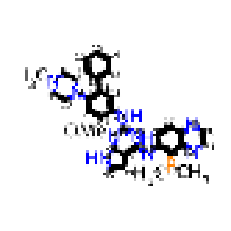 COc1cc(N2CCN(C)CC2)c(-c2ccccc2)cc1Nc1nc(Nc2ccc3nccnc3c2P(C)C)c2cc[nH]c2n1